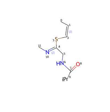 C/C=C\S/C(CNC(=O)C(C)C)=N\C